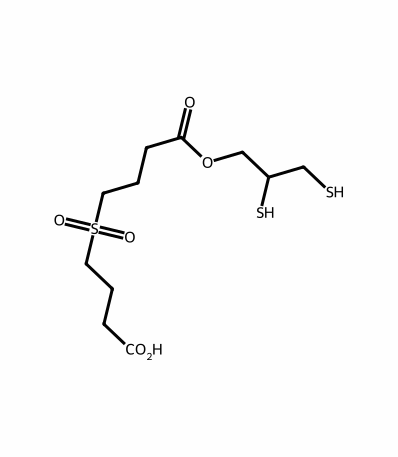 O=C(O)CCCS(=O)(=O)CCCC(=O)OCC(S)CS